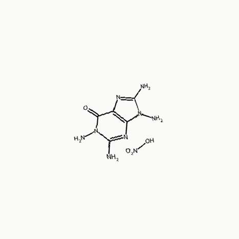 Nc1nc2c(nc(N)n2N)c(=O)n1N.O=[N+]([O-])O